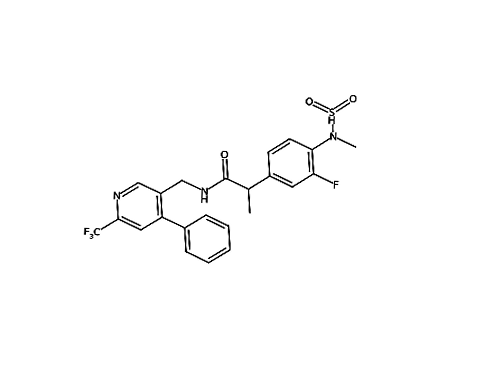 CC(C(=O)NCc1cnc(C(F)(F)F)cc1-c1ccccc1)c1ccc(N(C)[SH](=O)=O)c(F)c1